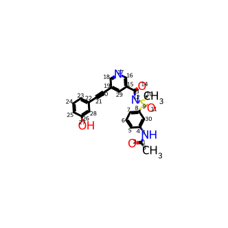 CC(=O)Nc1cccc(S(C)(=O)=NC(=O)c2cncc(C#Cc3cccc(O)c3)c2)c1